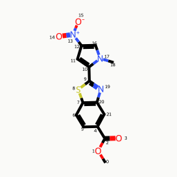 COC(=O)c1ccc2sc(-c3cc([N+](=O)[O-])cn3C)nc2c1